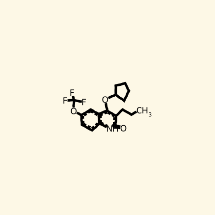 CCCc1c(OC2CCCC2)c2cc(OC(F)(F)F)ccc2[nH]c1=O